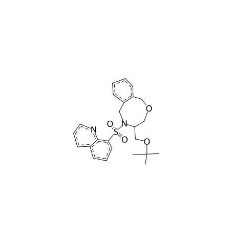 CC(C)(C)OCC1COCc2ccccc2CN1S(=O)(=O)c1cccc2cccnc12